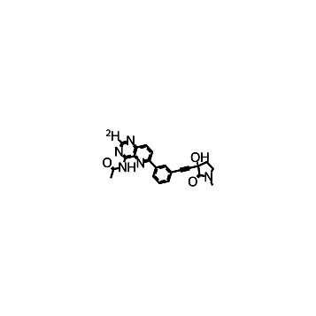 [2H]c1nc(NC(C)=O)c2nc(-c3cccc(C#C[C@]4(O)CCN(C)C4=O)c3)ccc2n1